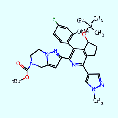 COc1cc(F)ccc1-c1c(-c2cc3n(n2)CCN(C(=O)OC(C)(C)C)C3)nc(-c2cnn(C)c2)c2c1C(O[Si](C)(C)C(C)(C)C)CC2